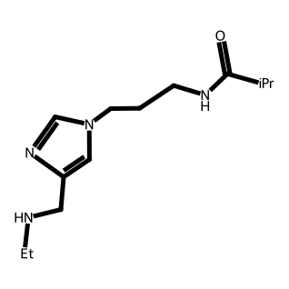 CCNCc1cn(CCCNC(=O)C(C)C)cn1